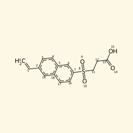 C=Cc1ccc2cc(S(=O)(=O)CCC(=O)O)ccc2c1